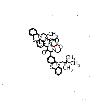 CC(CN1c2ccccc2Sc2ccc(C(C(=O)C(c3ccc4c(c3)N(CC(C)N(C)C)c3ccccc3S4)N3CCOCC3)N3CCOCC3)cc21)N(C)C